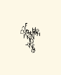 C#Cc1c(F)ccc2cccc(-c3ncc4c(N5C[C@H]6CC[C@@H](C5)N6)nc(OC[C@@]56CC[C@@H](COC)N5CC(=C)C6)nc4c3F)c12